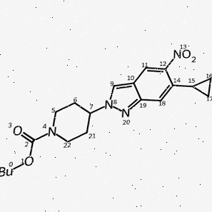 CC(C)(C)OC(=O)N1CCC(n2cc3cc([N+](=O)[O-])c(C4CC4)cc3n2)CC1